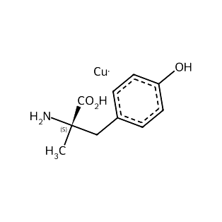 C[C@](N)(Cc1ccc(O)cc1)C(=O)O.[Cu]